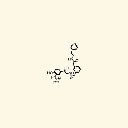 C[C@H](Cc1cccc(CC(=O)NCCc2ccccc2)c1)NC[C@H](O)c1ccc(O)c(NS(C)(=O)=O)c1